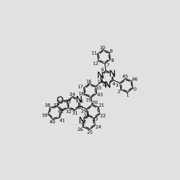 c1ccc(-c2nc(-c3ccccc3)nc(-c3cccc(-c4ccc5cccnc5c4-c4cc5c(cn4)oc4ccccc45)c3)n2)cc1